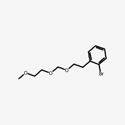 COCCOCOCCc1ccccc1Br